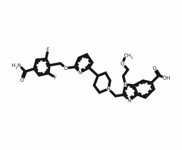 COCCn1c(CN2CCC(c3cccc(OCc4c(F)cc(C(N)=O)cc4F)n3)CC2)nc2ccc(C(=O)O)cc21